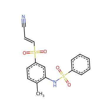 Cc1ccc(S(=O)(=O)C=CC#N)cc1NS(=O)(=O)c1ccccc1